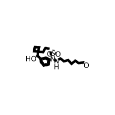 CCCC1(C(O)c2cccc(N(NCCCCCCC=O)S(C)(=O)=O)c2)CCC1